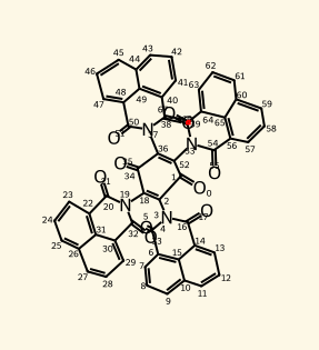 O=C1C(N2C(=O)c3cccc4cccc(c34)C2=O)=C(N2C(=O)c3cccc4cccc(c34)C2=O)C(=O)C(N2C(=O)c3cccc4cccc(c34)C2=O)=C1N1C(=O)c2cccc3cccc(c23)C1=O